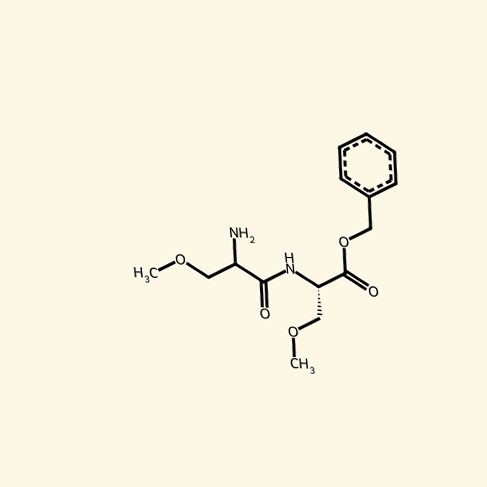 COCC(N)C(=O)N[C@@H](COC)C(=O)OCc1ccccc1